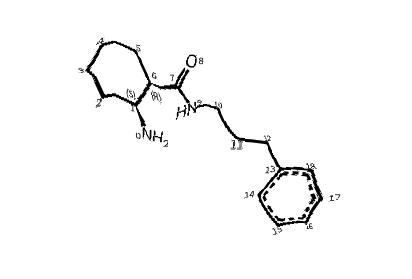 N[C@H]1CCCC[C@H]1C(=O)NCCCc1ccccc1